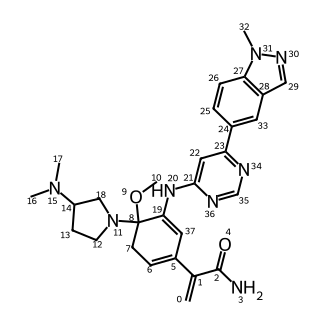 C=C(C(N)=O)C1=CCC(OC)(N2CCC(N(C)C)C2)C(Nc2cc(-c3ccc4c(cnn4C)c3)ncn2)=C1